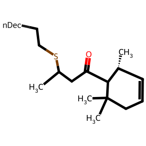 CCCCCCCCCCCCSC(C)CC(=O)C1[C@H](C)C=CCC1(C)C